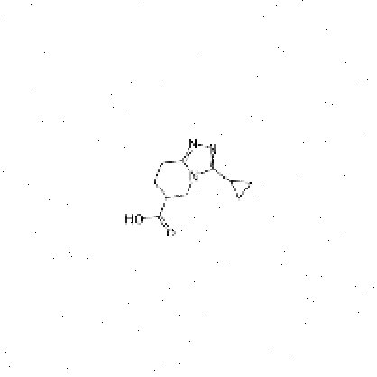 O=C(O)C1CCc2nnc(C3CC3)n2C1